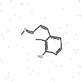 C/N=C/C=C\c1cccc(O)c1C